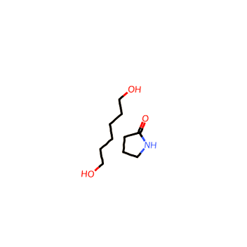 O=C1CCCN1.OCCCCCCO